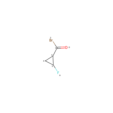 O=C(Br)C1CC1F